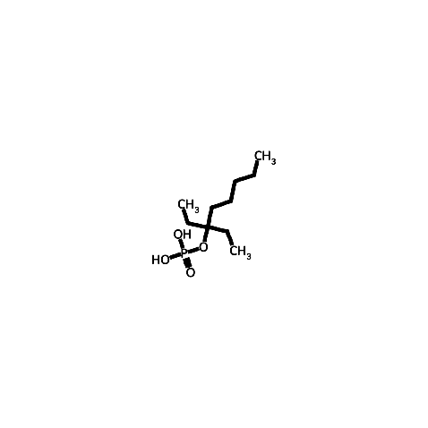 CCCCCC(CC)(CC)OP(=O)(O)O